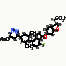 COc1cnnc(-c2cc(C)c(-c3ccc(F)c4c3CC[C@H]4Oc3ccc4c(c3)OC[C@H]4CC(=O)O)c(C)c2)c1